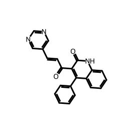 O=C(/C=C/c1cncnc1)c1c(-c2ccccc2)c2ccccc2[nH]c1=O